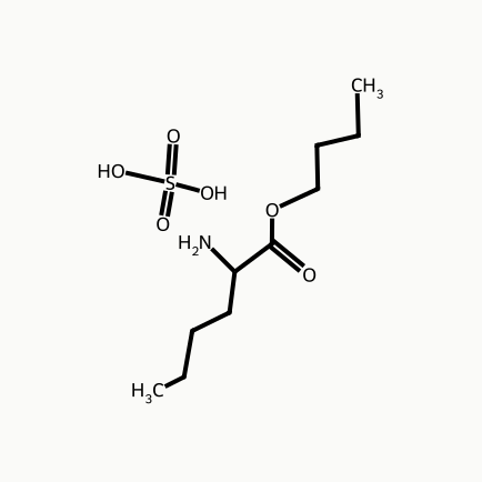 CCCCOC(=O)C(N)CCCC.O=S(=O)(O)O